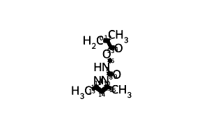 C=C(C)C(=O)OCNC(=O)n1nc(C)cc1C